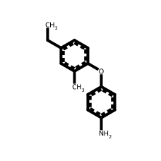 CCc1ccc(Oc2ccc(N)cc2)c(C)c1